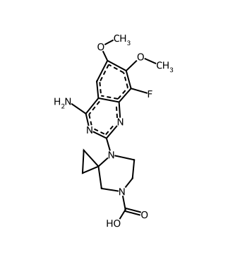 COc1cc2c(N)nc(N3CCN(C(=O)O)CC34CC4)nc2c(F)c1OC